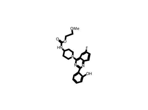 COCCOC(=O)NC1CCN(c2nc(-c3ccccc3O)nc3ccc(F)cc23)CC1